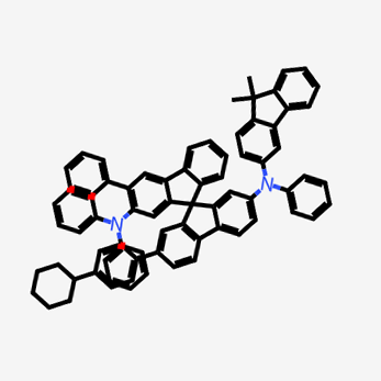 CC1(C)c2ccccc2-c2cc(N(c3ccccc3)c3ccc4c(c3)C3(c5ccccc5-c5cc(-c6ccccc6)c(N(c6ccccc6)c6ccccc6)cc53)c3cc(-c5ccc(C6CCCCC6)cc5)ccc3-4)ccc21